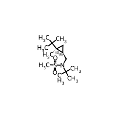 CC(C)(C)N(C[C@@H]1C[C@]1(C)C(C)(C)C)S(C)(=O)=O